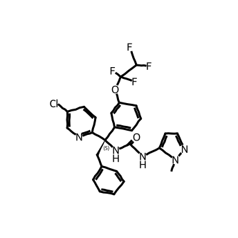 Cn1nccc1NC(=O)N[C@@](Cc1ccccc1)(c1cccc(OC(F)(F)C(F)F)c1)c1ccc(Cl)cn1